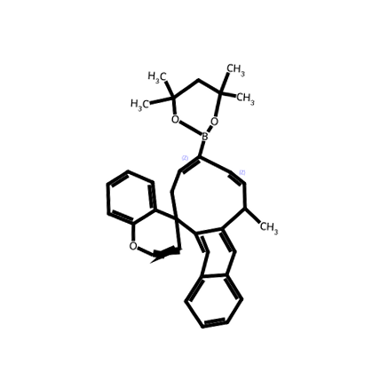 CC1/C=C\C(B2OC(C)(C)CC(C)(C)O2)=C/CC2(c3ccccc3Oc3ccccc32)c2cc3ccccc3cc21